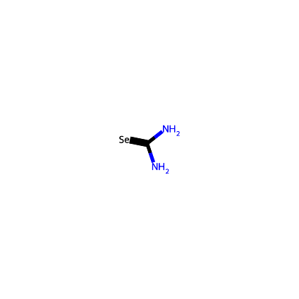 NC(N)=[Se]